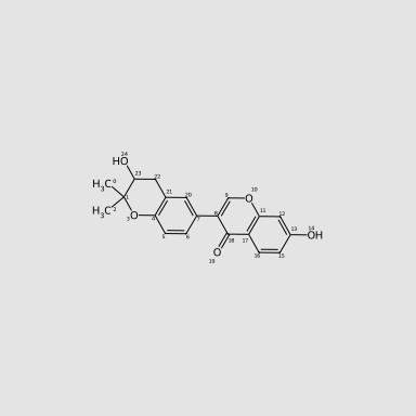 CC1(C)Oc2ccc(-c3coc4cc(O)ccc4c3=O)cc2CC1O